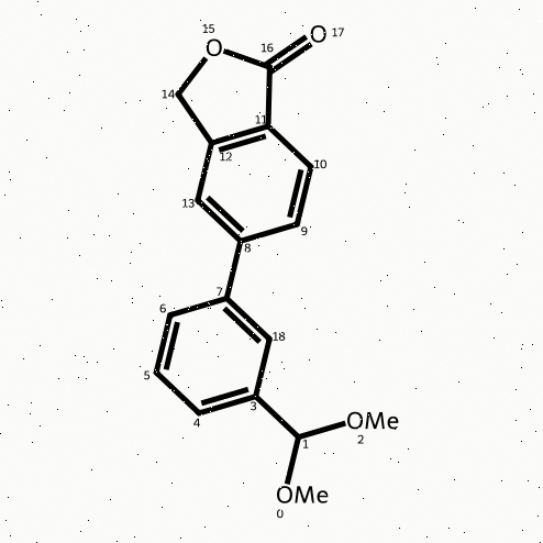 COC(OC)c1cccc(-c2ccc3c(c2)COC3=O)c1